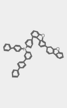 C1=CC(c2ccc3c(c2)oc2cccc(-c4ccc(N(c5ccc(-c6ccccc6)cc5)c5cccc(-c6ccc(-c7ccccc7)cc6)c5)cc4)c23)Cc2oc3ccccc3c21